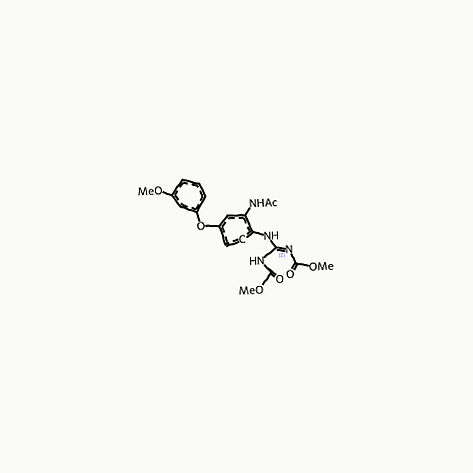 COC(=O)/N=C(\NC(=O)OC)Nc1ccc(Oc2cccc(OC)c2)cc1NC(C)=O